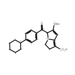 CSC1=CC2=C(C(=O)O)CCN2C1C(=O)c1ccc(C2CCCCC2)cc1